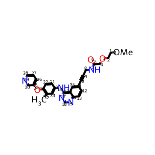 COCCOCC(=O)NCC#Cc1ccc2ncnc(Nc3ccc(Oc4cccnc4)c(C)c3)c2c1